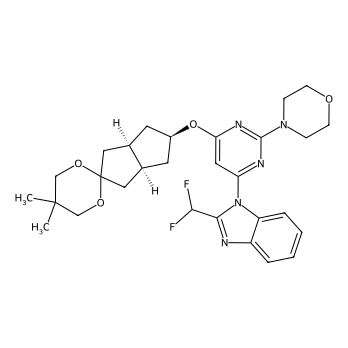 CC1(C)COC2(C[C@H]3C[C@@H](Oc4cc(-n5c(C(F)F)nc6ccccc65)nc(N5CCOCC5)n4)C[C@H]3C2)OC1